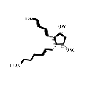 CCCCC=CC=C[C@@H]1[C@@H](CC=CCCCC(=O)O)[C@@H](OC(C)=O)C[C@H]1OC(C)=O